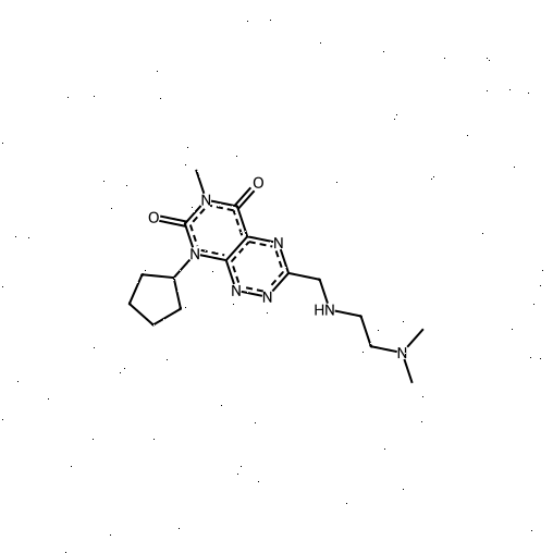 CN(C)CCNCc1nnc2c(n1)c(=O)n(C)c(=O)n2C1CCCC1